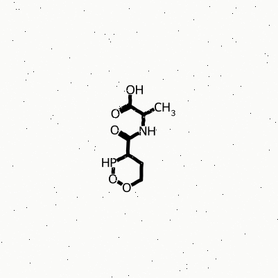 CC(NC(=O)C1CCOOP1)C(=O)O